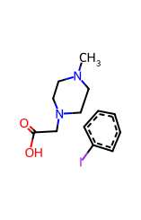 CN1CCN(CC(=O)O)CC1.Ic1ccccc1